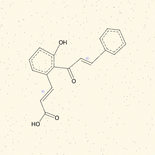 O=C(O)/C=C/c1cccc(O)c1C(=O)/C=C/c1ccccc1